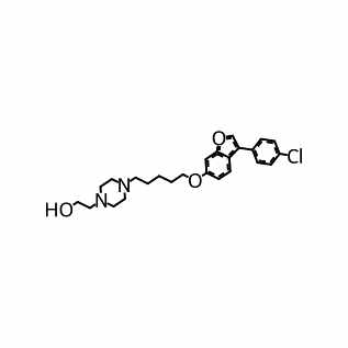 OCCN1CCN(CCCCCOc2ccc3c(-c4ccc(Cl)cc4)coc3c2)CC1